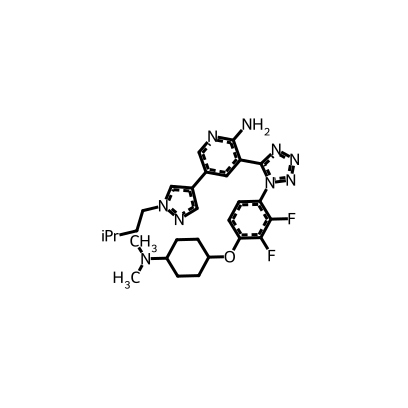 CC(C)CCn1cc(-c2cnc(N)c(-c3nnnn3-c3ccc(OC4CCC(N(C)C)CC4)c(F)c3F)c2)cn1